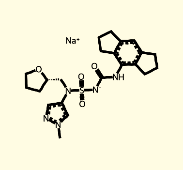 Cn1cc(N(C[C@@H]2CCCO2)S(=O)(=O)[N-]C(=O)Nc2c3c(cc4c2CCC4)CCC3)cn1.[Na+]